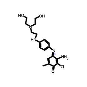 CC1=C/C(=N\c2ccc(NCCN(CCO)CCO)cc2)C(N)=C(Cl)C1=O